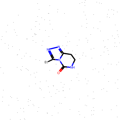 CCc1nnc2n1C(=O)NCC2